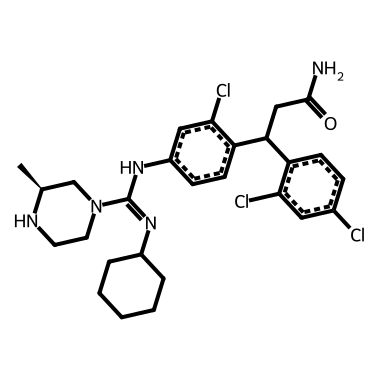 C[C@H]1CN(/C(=N\C2CCCCC2)Nc2ccc(C(CC(N)=O)c3ccc(Cl)cc3Cl)c(Cl)c2)CCN1